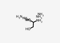 N.N.N.N.N.NC(O)CO